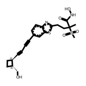 CC(CCc1nc2ccc(C#CC#C[C@@H]3CC[C@H]3CO)cc2s1)(C(=O)NO)S(C)(=O)=O